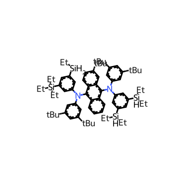 CC[SiH2]c1cc(N(c2cc(C(C)(C)C)cc(C(C)(C)C)c2)c2c3ccccc3c(N(c3cc([SiH](CC)CC)cc([SiH](CC)CC)c3)c3cc(C(C)(C)C)cc(C(C)(C)C)c3)c3cc(C(C)(C)C)ccc23)cc([Si](CC)(CC)CC)c1